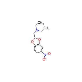 CCN(CC)CC1Oc2ccc([N+](=O)[O-])cc2O1